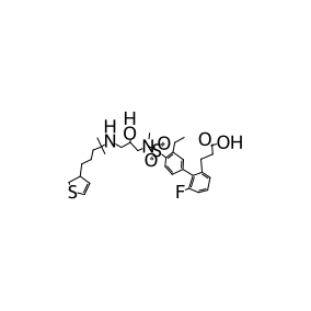 CCc1cc(-c2c(F)cccc2CCC(=O)O)ccc1S(=O)(=O)N(C)C[C@H](O)CNC(C)(C)CCCC1C=CSC1